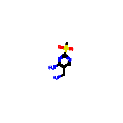 CS(=O)(=O)c1ncc(CN)c(N)n1